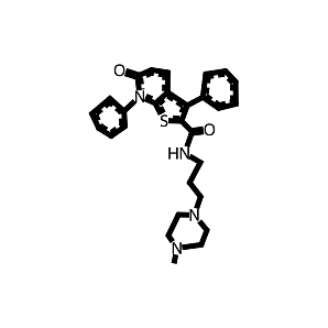 CN1CCN(CCCNC(=O)c2sc3c(ccc(=O)n3-c3ccccc3)c2-c2ccccc2)CC1